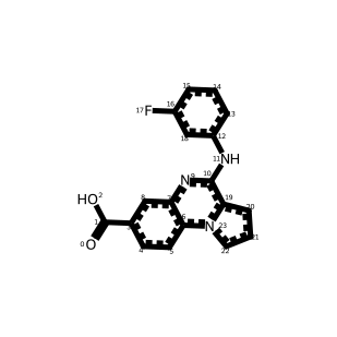 O=C(O)c1ccc2c(c1)nc(Nc1cccc(F)c1)c1cccn12